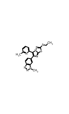 CCSc1nn2c(-c3cccc(C)n3)c(-c3ccc4nnn(C)c4c3)nc2s1